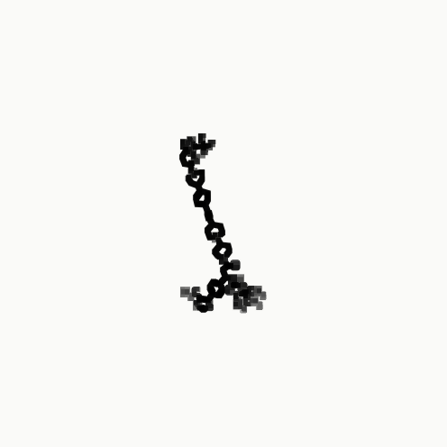 Cc1ncsc1-c1ccc(C(CC(=O)N2CCC(N3CCC(C#Cc4ccc(C5CCN(C6=Nn7c(nnc7C(F)(F)F)CC6)CC5)cc4)CC3)CC2)NC(=O)OC(C)(C)C)cc1